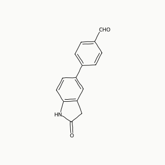 O=Cc1ccc(-c2ccc3c(c2)CC(=O)N3)cc1